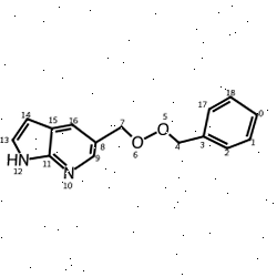 c1ccc(COOCc2cnc3[nH]ccc3c2)cc1